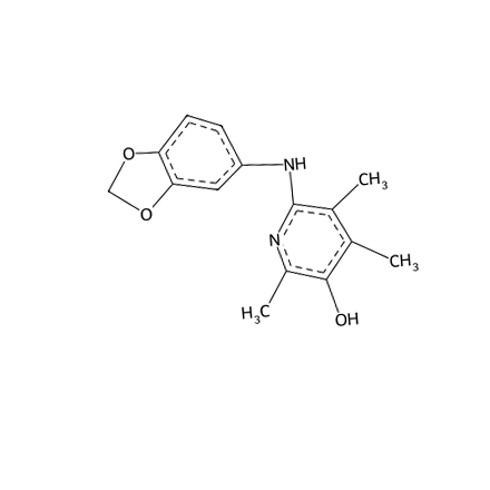 Cc1nc(Nc2ccc3c(c2)OCO3)c(C)c(C)c1O